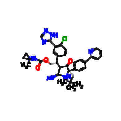 CC(C)(C)C[C@]1(c2ccc(-c3ccccn3)cc2)NC(=N)C([C@H](COC(=O)NC2(C)CC2)c2ccc(Cl)c(-c3ncn[nH]3)c2)C1=O